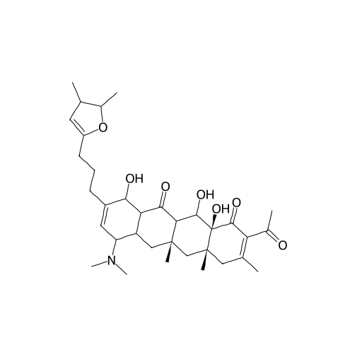 CC(=O)C1=C(C)C[C@]2(C)C[C@]3(C)CC4C(C(=O)C3C(O)[C@]2(O)C1=O)C(O)C(CCCC1=CC(C)C(C)O1)=CC4N(C)C